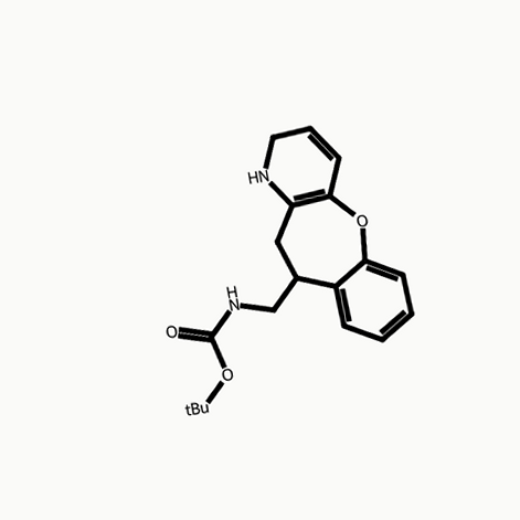 CC(C)(C)OC(=O)NCC1CC2=C(C=CCN2)Oc2ccccc21